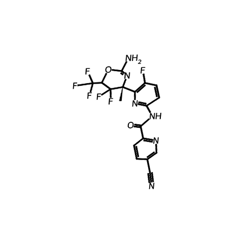 C[C@]1(c2nc(NC(=O)c3ccc(C#N)cn3)ccc2F)N=C(N)OC(C(F)(F)F)C1(F)F